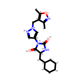 Cc1noc(C)c1Cn1cc(N2C(=O)NC(CC3CCCCC3)C2=O)cn1